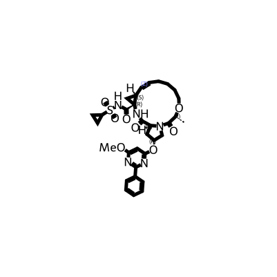 COc1cc(O[C@@H]2C[C@H]3C(=O)N[C@]4(C(=O)NS(=O)(=O)C5CC5)C[C@H]4/C=C\CCCCO[C@H](C)C(=O)N3C2)nc(-c2ccccc2)n1